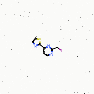 ICc1nccc(-c2nccs2)n1